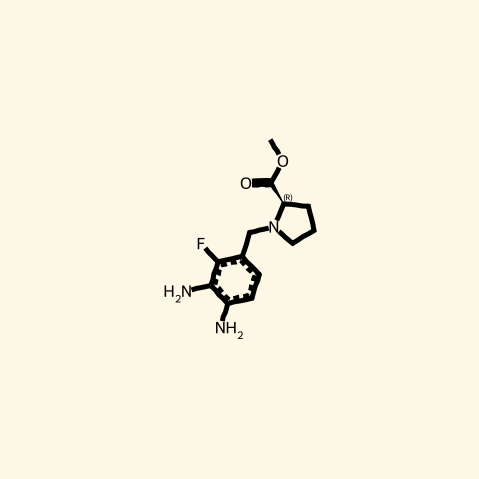 COC(=O)[C@H]1CCCN1Cc1ccc(N)c(N)c1F